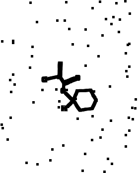 C=C(Cl)C(=O)OC1(CC)CCCCC1